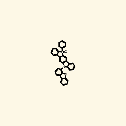 O=P1(c2ccccc2)c2ccccc2-c2cc3c(cc21)c1ccccc1n3-c1cccc2c1sc1ccccc12